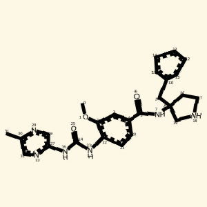 COc1cc(C(=O)NC2(Cc3ccccc3)CCNC2)ccc1NC(=O)Nc1cnc(C)cn1